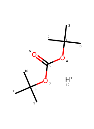 CC(C)(C)OC(=O)OC(C)(C)C.[H+]